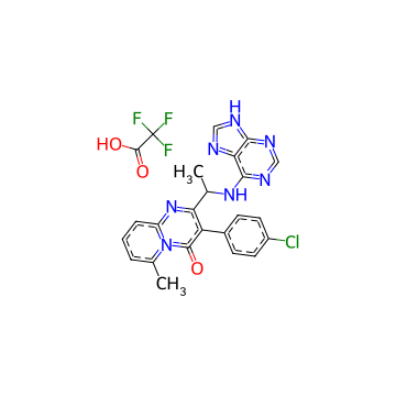 Cc1cccc2nc(C(C)Nc3ncnc4[nH]cnc34)c(-c3ccc(Cl)cc3)c(=O)n12.O=C(O)C(F)(F)F